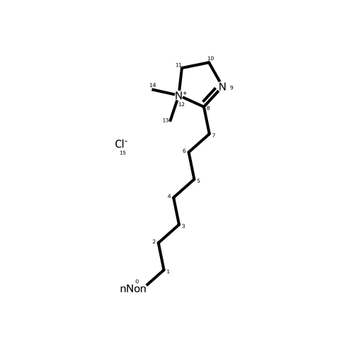 CCCCCCCCCCCCCCCCC1=NCC[N+]1(C)C.[Cl-]